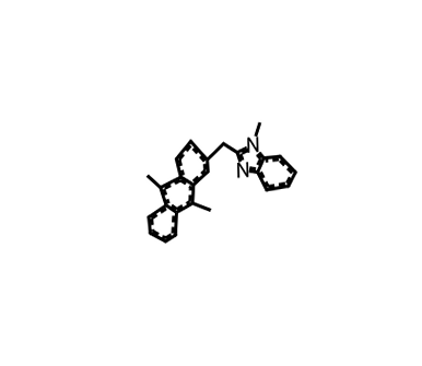 Cc1c2ccccc2c(C)c2cc(Cc3nc4ccccc4n3C)ccc12